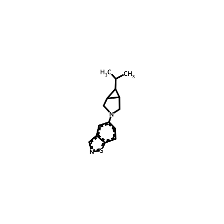 CC(C)C1C2CN(c3ccc4sncc4c3)CC21